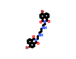 O=C1c2cccc3c(Br)ccc(c23)C(=O)N1CCNCCCNCCN1C(=O)c2cccc3c(Br)ccc(c23)C1=O